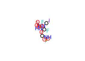 CCS(=O)(=O)Nc1cccc(Oc2cc(F)cc(Nc3ccc(I)cc3F)c2NS(=O)(=O)CC(=O)OC)c1